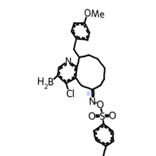 Bc1cnc2c(c1Cl)C/C(=N/OS(=O)(=O)c1ccc(C)cc1)CCCCCC2Cc1ccc(OC)cc1